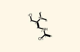 C=C(Cl)N/C=C(/CCl)N(C)C